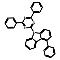 c1ccc(-c2nc(-c3ccccc3)nc(-n3c4ccccc4c4c(-c5ccccc5)cccc43)n2)cc1